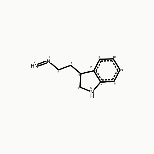 N=NCCC1CNc2ccccc21